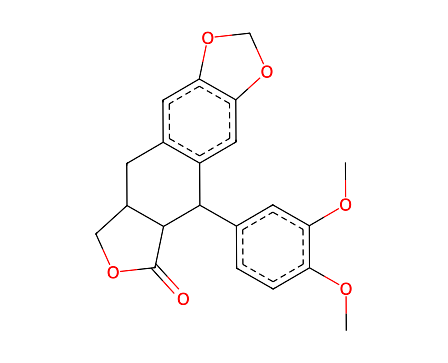 COc1ccc(C2c3cc4c(cc3CC3COC(=O)C32)OCO4)cc1OC